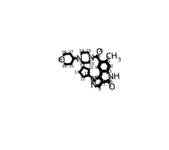 Cc1cc2[nH]c(=O)c3cnn(C4CCCC4)c3c2cc1C(=O)N1CCN(C2CCOCC2)CC1